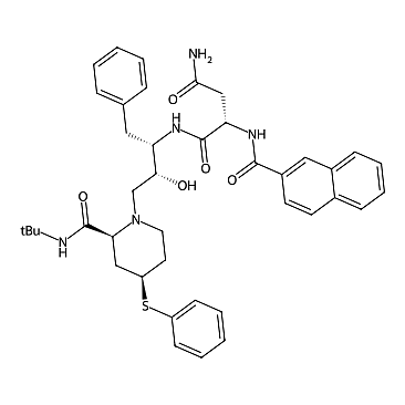 CC(C)(C)NC(=O)[C@@H]1C[C@H](Sc2ccccc2)CCN1C[C@@H](O)[C@H](Cc1ccccc1)NC(=O)[C@H](CC(N)=O)NC(=O)c1ccc2ccccc2c1